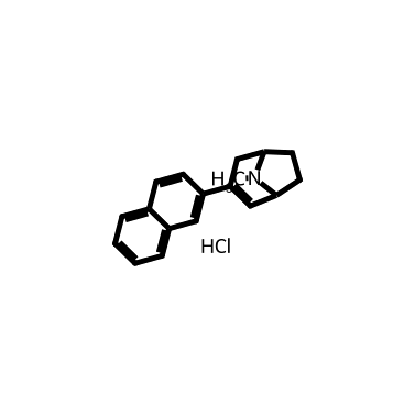 CN1C2C=C(c3ccc4ccccc4c3)CC1CC2.Cl